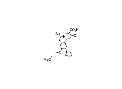 COCCCOc1cc2c(cc1-n1cccn1)-c1cc(=O)c(C(=O)O)cn1[C@@H](C(C)(C)C)C2